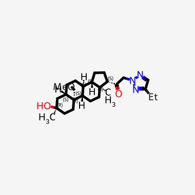 CCc1cnn(CC(=O)[C@H]2CC[C@H]3[C@@H]4CC[C@H]5C[C@](C)(O)CC[C@]5(COC)[C@H]4CC[C@]23C)n1